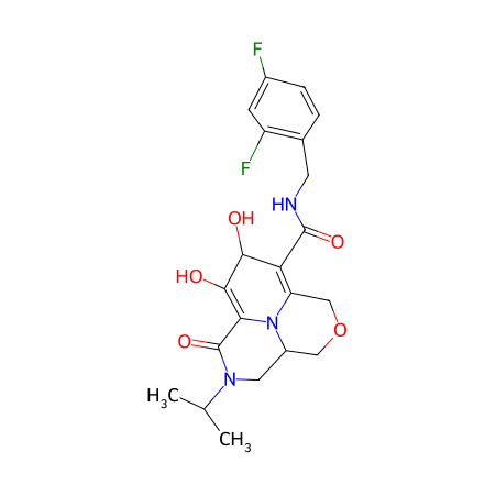 CC(C)N1CC2COCC3=C(C(=O)NCc4ccc(F)cc4F)C(O)C(O)=C(C1=O)N32